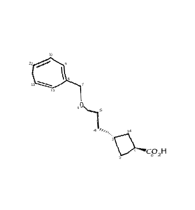 O=C(O)[C@H]1C[C@H](CCOCc2ccccc2)C1